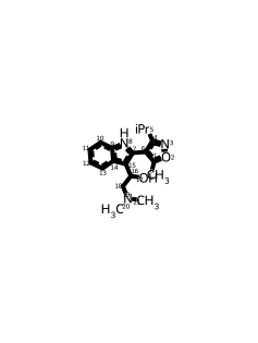 Cc1onc(C(C)C)c1-c1[nH]c2ccccc2c1C(O)CN(C)C